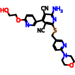 N#Cc1c(N)nc(SCc2ccc(N3CCOCC3)nc2)c(C#N)c1-c1ccc(OCCO)nc1